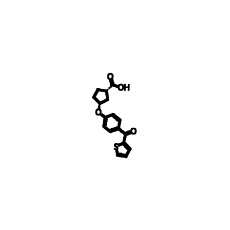 O=C(c1ccc(O[C@H]2CC[C@H](C(=O)O)C2)cc1)c1cccs1